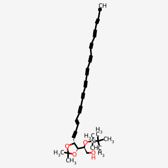 C#CC#CC#CC#CC#CC#CC#CC#CC#CC#CC#C[C@H]1OC(C)(C)O[C@H]1[C@H](CO)O[Si](C)(C)C(C)(C)C